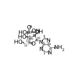 Nc1ncnc2c1ncn2[C@@H]1O[C@H](CO)[C@](O)(P(=O)(O)O)[C@H]1O